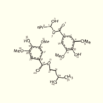 CCCC(O)OC(=O)c1cc(OC)c(O)c(OC)c1.COc1cc(C(=O)OCCC(C)O)cc(OC)c1O